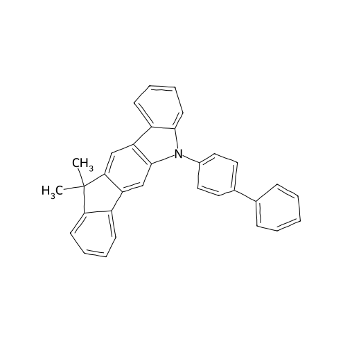 CC1(C)c2ccccc2-c2cc3c(cc21)c1ccccc1n3-c1ccc(-c2ccccc2)cc1